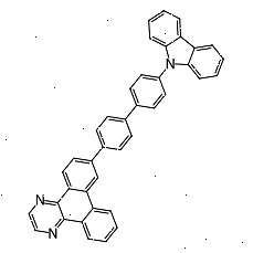 c1ccc2c(c1)c1cc(-c3ccc(-c4ccc(-n5c6ccccc6c6ccccc65)cc4)cc3)ccc1c1nccnc21